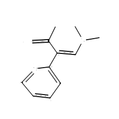 CN(C)/C=C(\C(=O)O)c1ccccn1